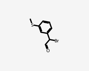 CSc1cccc(C(Br)C=O)c1